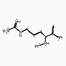 C=C(C(C)C)[C@H](CCCNC(=N)N)NC(C)C